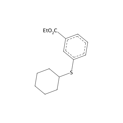 CCOC(=O)c1cccc(SC2CCCCC2)c1